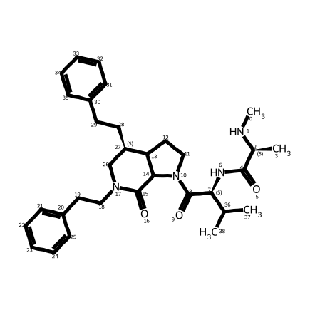 CN[C@@H](C)C(=O)N[C@H](C(=O)N1CCC2C1C(=O)N(CCc1ccccc1)C[C@H]2CCc1ccccc1)C(C)C